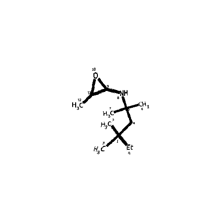 CCC(C)(C)CC(C)(C)NC1OC1C